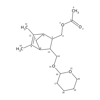 CC(=O)OCC1C2CC(C(C)=C2C)C1COC1CCCCO1